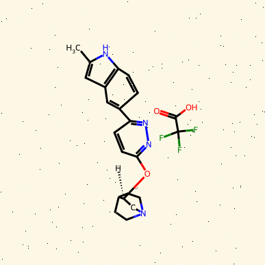 Cc1cc2cc(-c3ccc(O[C@H]4CN5CCC4CC5)nn3)ccc2[nH]1.O=C(O)C(F)(F)F